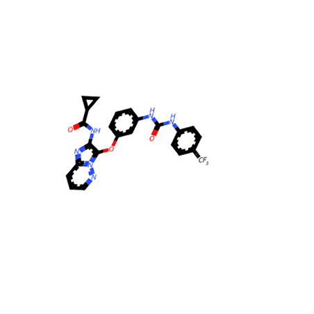 O=C(Nc1ccc(C(F)(F)F)cc1)Nc1cccc(Oc2c(NC(=O)C3CC3)nc3cccnn23)c1